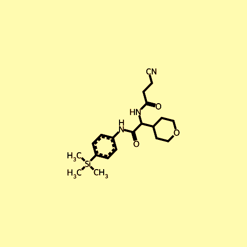 C[Si](C)(C)c1ccc(NC(=O)C(NC(=O)CCC#N)C2CCOCC2)cc1